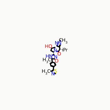 Cc1ncsc1-c1ccc([C@]2(C)NC([C@@H]3C[C@@H](O)CN3C(=O)[C@H](c3cnn(C)c3)C(C)C)=NC2=O)cc1